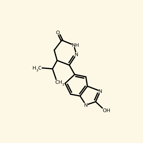 CC(C)C1CC(=O)NN=C1c1ccc2c(c1)N=C(O)[N]2